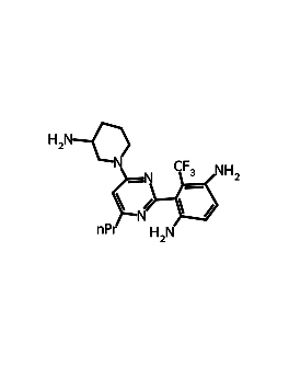 CCCc1cc(N2CCCC(N)C2)nc(-c2c(N)ccc(N)c2C(F)(F)F)n1